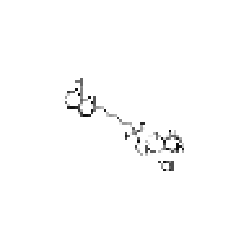 CCc1ncncc1C(CO)N1CC[C@@H](C(F)(F)CCCCCc2ccc3c(n2)NCCC3)C1